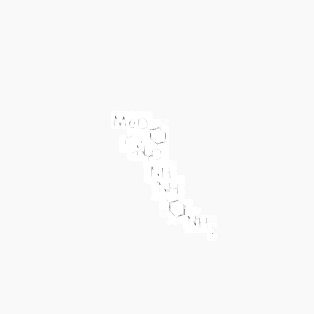 COc1ccccc1C1CCCCN1C(=O)CNCNCc1ccc(N)cc1